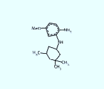 COc1ccc(N)c(NC2CC(C)CC(C)(C)C2)c1